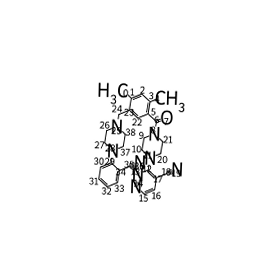 Cc1cc(C)c(C(=O)N2CCN(c3nnccc3C#N)CC2)cc1CN1CCN(c2ccccc2C#N)CC1